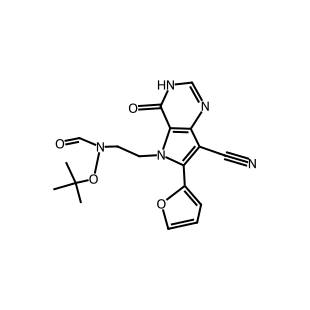 CC(C)(C)ON(C=O)CCn1c(-c2ccco2)c(C#N)c2nc[nH]c(=O)c21